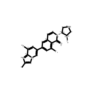 Cc1cn2cc(-c3cc(F)c4c(=O)n([C@@H]5CNC[C@H]5F)ccc4c3)cc(F)c2n1